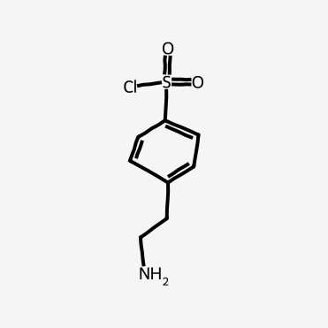 NCCc1ccc(S(=O)(=O)Cl)cc1